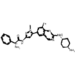 CCc1cc(-c2cc(NC(=O)[C@H](N)c3ccccc3)nn2C)cc2cnc(N[C@H]3CC[C@H](N)CC3)nc12